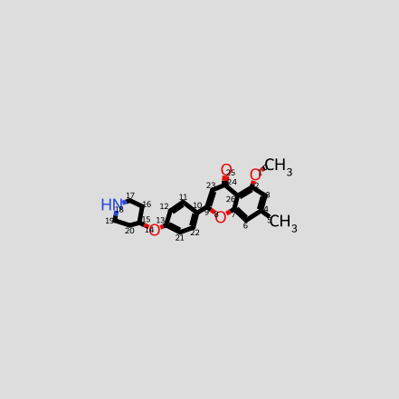 COc1cc(C)cc2oc(-c3ccc(OC4CCNCC4)cc3)cc(=O)c12